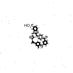 Cc1cc(C2CC2)ccc1N(C)c1cccc(C(=O)N2CCN(Cc3nc4ccc(C(=O)O)cc4n3C[C@@H]3CCO3)CC2)c1